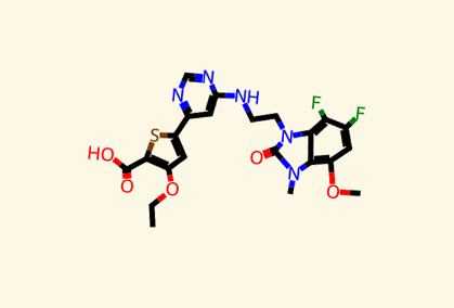 CCOc1cc(-c2cc(NCCn3c(=O)n(C)c4c(OC)cc(F)c(F)c43)ncn2)sc1C(=O)O